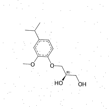 COc1cc(C(C)C)ccc1OC[C@H](O)CO